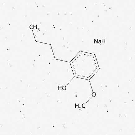 CCCCc1cccc(OC)c1O.[NaH]